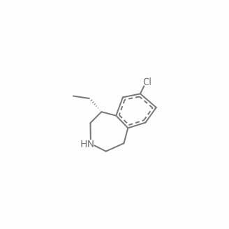 CC[C@H]1CNCCc2ccc(Cl)cc21